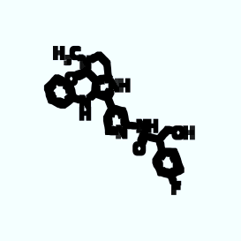 CN1CCc2[nH]c(-c3ccnc(NC(=O)C(CO)c4ccc(F)cc4)c3)c(Nc3ccccc3)c2C1=O